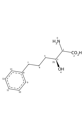 NC(C(=O)O)[C@@H](O)CCCc1ccccc1